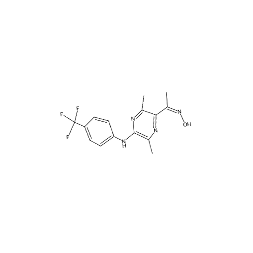 C/C(=N/O)c1nc(C)c(Nc2ccc(C(F)(F)F)cc2)nc1C